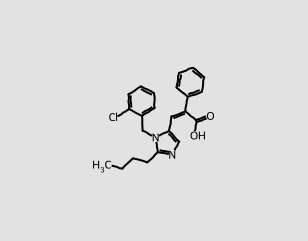 CCCCc1ncc(C=C(C(=O)O)c2ccccc2)n1Cc1ccccc1Cl